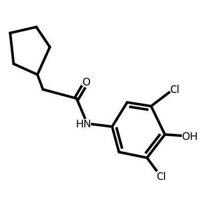 O=C(CC1CCCC1)Nc1cc(Cl)c(O)c(Cl)c1